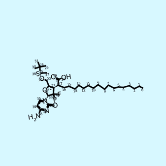 CCCCCCCCCCCCCCCCCC(C(=O)O)[C@@H]1C(CO[Si](C)(C)C(C)(C)C)O[C@@H](n2ccc(N)nc2=O)C1(F)F